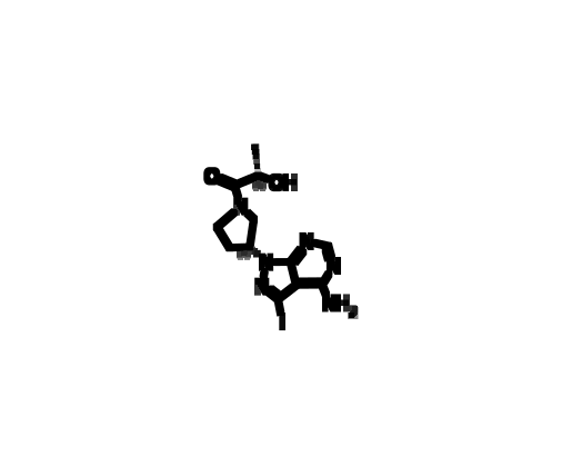 C[C@H](O)C(=O)N1CC[C@@H](n2nc(I)c3c(N)ncnc32)C1